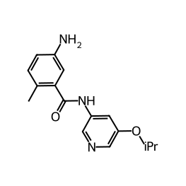 Cc1ccc(N)cc1C(=O)Nc1cncc(OC(C)C)c1